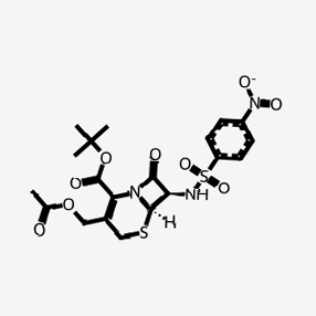 CC(=O)OCC1=C(C(=O)OC(C)(C)C)N2C(=O)[C@@H](NS(=O)(=O)c3ccc([N+](=O)[O-])cc3)[C@H]2SC1